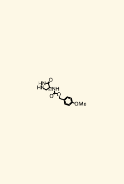 COc1ccc(COC(=O)N[C@H]2CNNC2=O)cc1